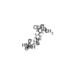 COc1cc(C2CCN(C(=O)CCC3NC(=O)NC3=O)CC2)cc(Cl)c1Cl